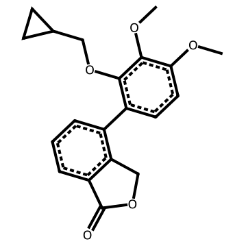 COc1ccc(-c2cccc3c2COC3=O)c(OC[C]2CC2)c1OC